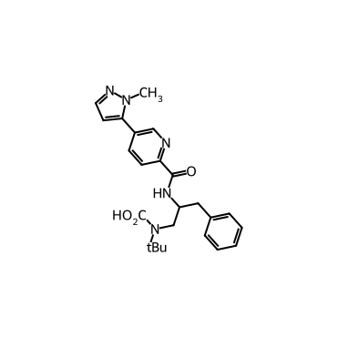 Cn1nccc1-c1ccc(C(=O)NC(Cc2ccccc2)CN(C(=O)O)C(C)(C)C)nc1